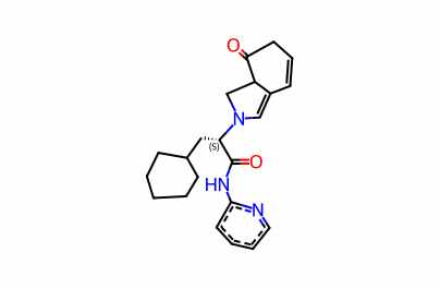 O=C1CC=CC2=CN([C@@H](CC3CCCCC3)C(=O)Nc3ccccn3)CC12